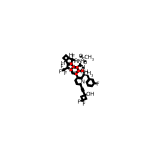 Cn1nc(NS(C)(=O)=O)c2c(Cl)ccc(-c3ccc(C#CC4(O)CC(F)(F)C4)nc3[C@H](Cc3cccc(F)c3)NC(=O)Cn3nc(C(F)(F)F)c4c3C(F)(F)[C@@H]3CC[C@H]43)c21